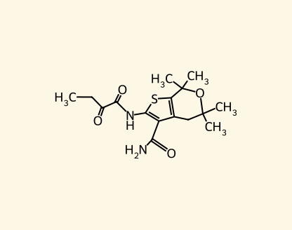 CCC(=O)C(=O)Nc1sc2c(c1C(N)=O)CC(C)(C)OC2(C)C